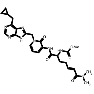 COC(=O)NC(CC/C=C/C(=O)N(C)C)C(=O)Nc1cccn(Cc2nc3c(CC4CC4)ncnc3[nH]2)c1=O